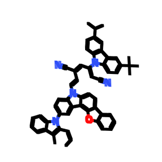 C/C=C\c1c(C)c2ccccc2n1-c1ccc2c(c1)c1c3oc4ccccc4c3ccc1n2/C=C/C(C#N)=C\C(=C\C#N)n1c2ccc(C(C)C)cc2c2cc(C(C)(C)C)ccc21